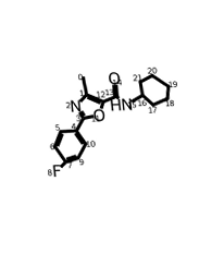 Cc1nc(-c2ccc(F)cc2)oc1C(=O)NC1CCCCC1